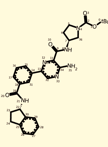 CC(C)(C)OC(=O)N1CC[C@H](NC(=O)c2nc(-c3cccc(C(=O)N[C@H]4CCc5ccccc54)c3)cnc2N)C1